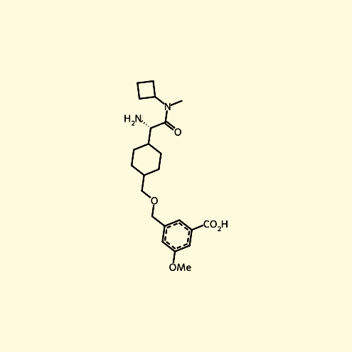 COc1cc(COCC2CCC([C@H](N)C(=O)N(C)C3CCC3)CC2)cc(C(=O)O)c1